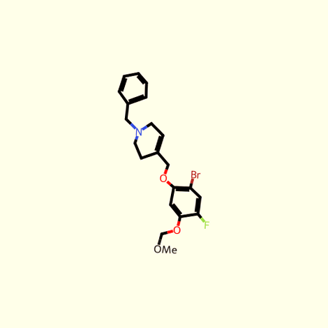 COCOc1cc(OCC2=CCN(Cc3ccccc3)CC2)c(Br)cc1F